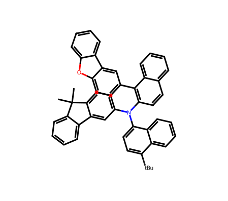 CC(C)(C)c1ccc(N(c2ccc3c(c2)-c2ccccc2C3(C)C)c2ccc3ccccc3c2-c2ccc3oc4ccccc4c3c2)c2ccccc12